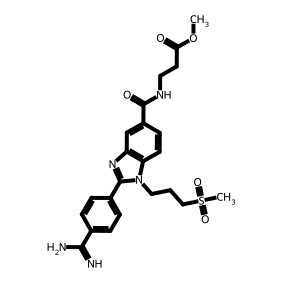 COC(=O)CCNC(=O)c1ccc2c(c1)nc(-c1ccc(C(=N)N)cc1)n2CCCS(C)(=O)=O